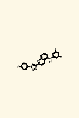 Fc1ccc(-n2cc(-c3ccc4c(Nc5cc(F)cc(I)c5)cccc4n3)nn2)cc1